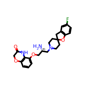 N[C@@H](COc1cccc2c1NC(=O)CO2)CN1CCC2(CC1)Cc1cc(F)ccc1O2